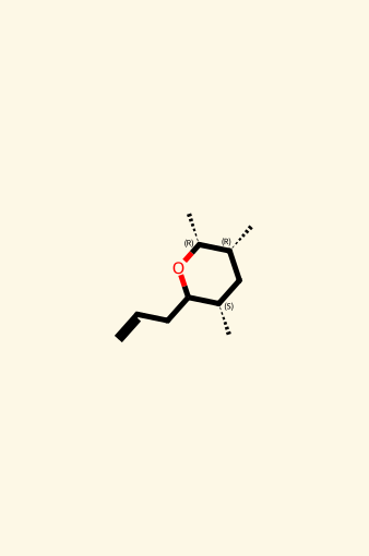 C=CCC1O[C@H](C)[C@H](C)C[C@@H]1C